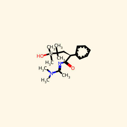 C/C(=N\C(=O)[C@@H](CC(C)(C)[Si](C)(C)O)c1ccccc1)N(C)C